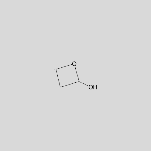 OC1C[CH]O1